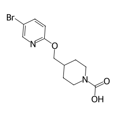 O=C(O)N1CCC(COc2ccc(Br)cn2)CC1